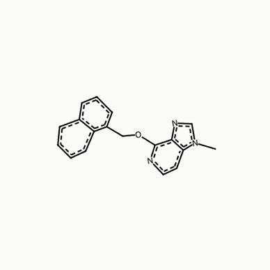 Cn1cnc2c(OCc3cccc4ccccc34)nccc21